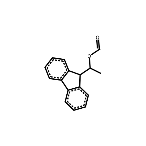 CC(O[C]=O)C1c2ccccc2-c2ccccc21